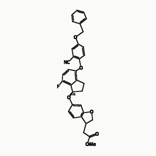 COC(=O)CC1COc2cc(O[C@@H]3CCc4c(Oc5ccc(OCc6ccccc6)cc5C#N)ccc(F)c43)ccc21